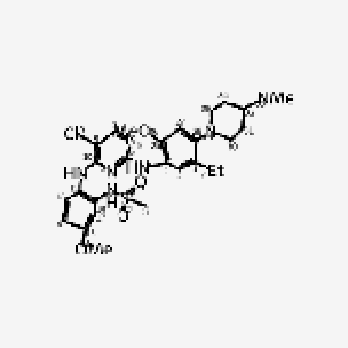 CCc1cc(Nc2ncc(Cl)c(Nc3ccc(OC)cc3NS(C)(=O)=O)n2)c(OC)cc1N1CCC(NC)CC1